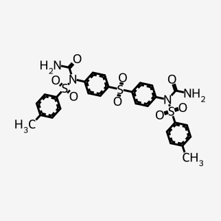 Cc1ccc(S(=O)(=O)N(C(N)=O)c2ccc(S(=O)(=O)c3ccc(N(C(N)=O)S(=O)(=O)c4ccc(C)cc4)cc3)cc2)cc1